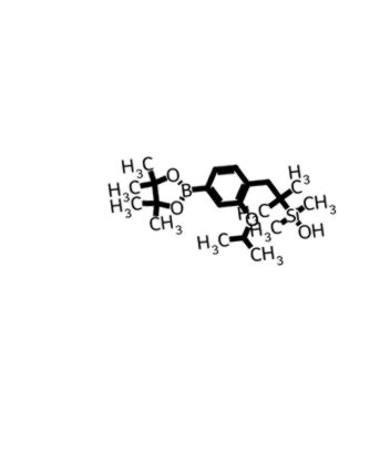 CC(C)Oc1cc(B2OC(C)(C)C(C)(C)O2)ccc1CC(C)(C)[Si](C)(C)O